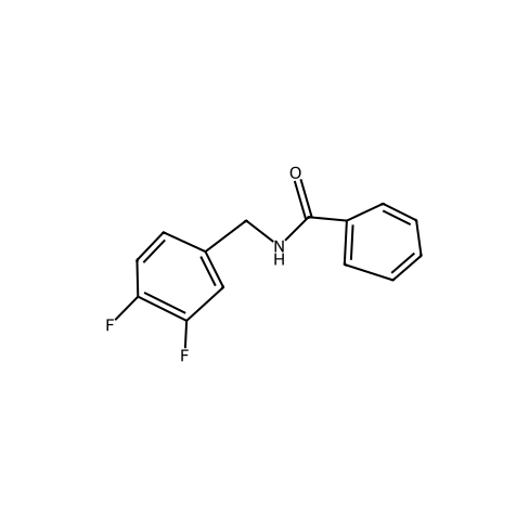 O=C(NCc1ccc(F)c(F)c1)c1ccccc1